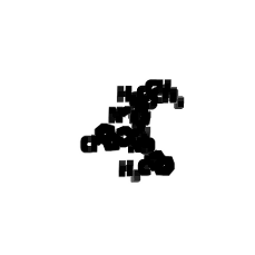 CN1c2ccccc2C[C@H]1COc1nc2c(c(N3CCN(C(=O)OC(C)(C)C)[C@@H](CC#N)C3)n1)CC[C@@]1(CCc3c(Cl)cccc31)C2